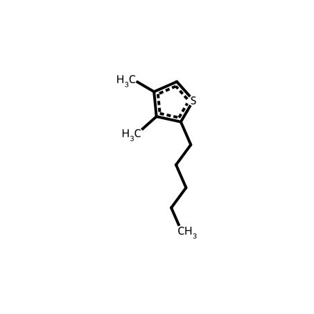 CCCCCc1scc(C)c1C